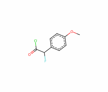 COc1ccc(C(F)C(=O)Cl)cc1